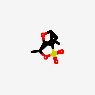 CC1c2cc3c(o2)C1(C)OS3(=O)=O